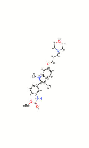 CCCCOC(=O)Nc1cccc(-c2c(C#N)c3ccc(OCCCN4CCOCC4)cc3n2CC)c1